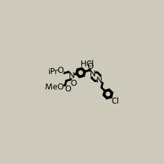 COC(=O)CC(=O)N(CCOC(C)C)c1ccc(C(=O)N2CCN(CCc3ccc(Cl)cc3)CC2)cc1.Cl